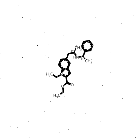 CCOC(=O)c1cc2cc(C[C@@H](C)N[C@H](C)c3ccccc3)ccc2n1CC